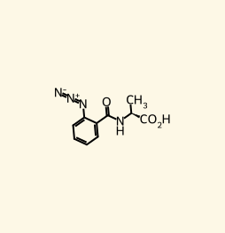 C[C@H](NC(=O)c1ccccc1N=[N+]=[N-])C(=O)O